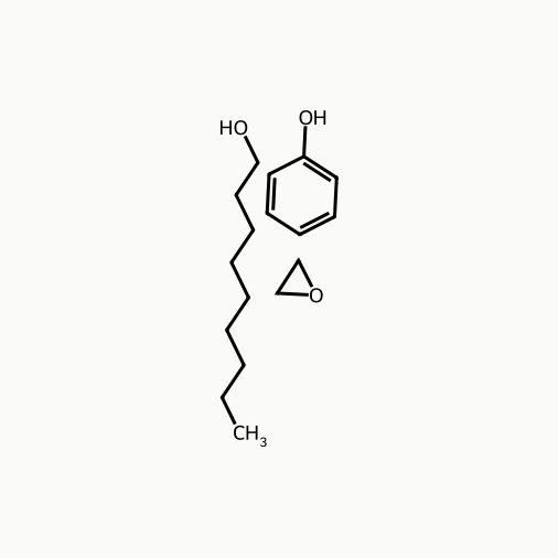 C1CO1.CCCCCCCCCO.Oc1ccccc1